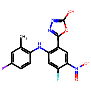 Cc1cc(I)ccc1Nc1cc(F)c([N+](=O)[O-])cc1-c1nnc(O)o1